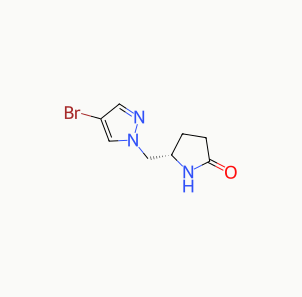 O=C1CC[C@@H](Cn2cc(Br)cn2)N1